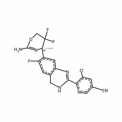 C[C@]1(c2cc3c(cc2F)CNC(c2ncc(C#N)cc2Cl)=N3)N=C(N)OCC1(F)F